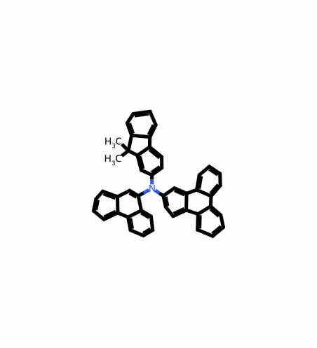 CC1(C)c2ccccc2-c2ccc(N(c3ccc4c5ccccc5c5ccccc5c4c3)c3cc4ccccc4c4ccccc34)cc21